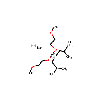 CC(C)[CH2][Al+][CH2]C(C)C.COCC[O][Al+][O]CCOC.[HH].[HH].[Na+]